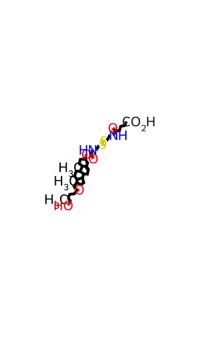 CC(CO)CCC1CC2C(CC3C4CC=C5CC(OC(=O)NCCSSCCNC(=O)CCCC(=O)O)CCC5(C)C4CCC23C)O1